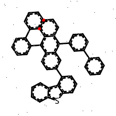 c1ccc(-c2cccc(-c3c4ccccc4c(-c4ccccc4-c4ccccc4)c4ccc(-c5cccc6sc7ccccc7c56)cc34)c2)cc1